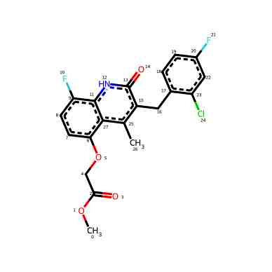 COC(=O)COc1ccc(F)c2[nH]c(=O)c(Cc3ccc(F)cc3Cl)c(C)c12